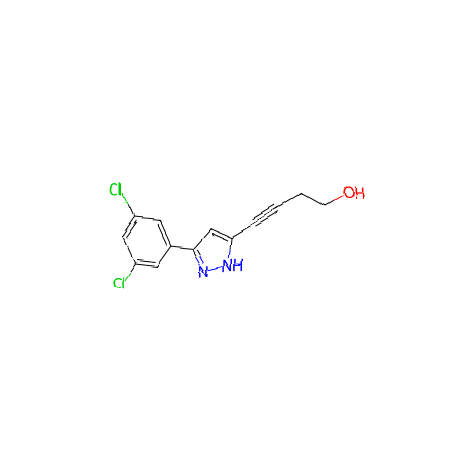 OCCC#Cc1cc(-c2cc(Cl)cc(Cl)c2)n[nH]1